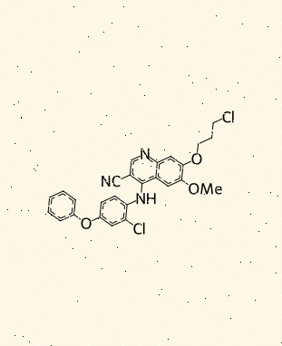 COc1cc2c(Nc3ccc(Oc4ccccc4)cc3Cl)c(C#N)cnc2cc1OCCCCl